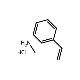 C=Cc1ccccc1.CN.Cl